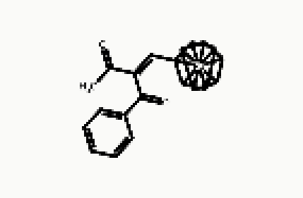 CC(=O)C(=C[C]12[CH]3[CH]4[CH]5[CH]1[Ru]45321678[CH]2[CH]1[CH]6[CH]7[CH]28)C(=O)c1ccccc1